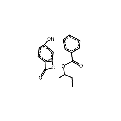 CCC(C)OC(=O)c1ccccc1.O=C1Oc2cc(O)ccc21